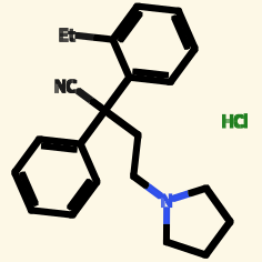 CCc1ccccc1C(C#N)(CCN1CCCC1)c1ccccc1.Cl